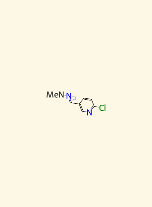 CN/N=C/c1ccc(Cl)nc1